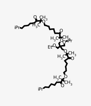 CCOCC(COC(C)C)(COC(C)(C)C(=O)CCCCCOC(C)(C)C(=O)CCCCCC(C)C)COC(C)(C)C(=O)CCCCCOC(C)(C)C(=O)CCCCCC(C)C